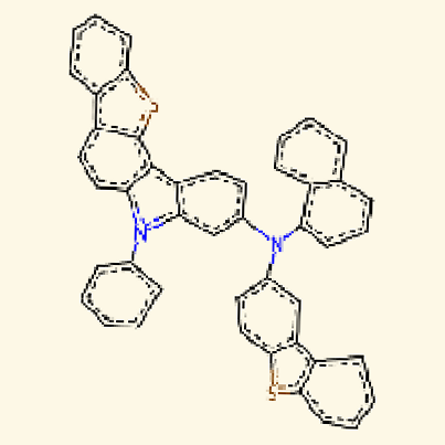 c1ccc(-n2c3cc(N(c4ccc5sc6ccccc6c5c4)c4cccc5ccccc45)ccc3c3c4sc5ccccc5c4ccc32)cc1